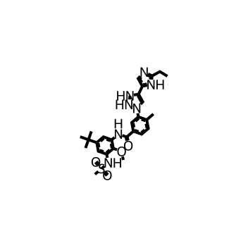 CCc1ncc(C2=CN(c3cc(C(=O)Nc4cc(C(C)(C)C)cc(NS(C)(=O)=O)c4OC)ccc3C)NN2)[nH]1